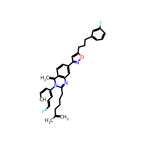 C=C(C)CCCCC1=Nc2cc(-c3cc(CCCc4cccc(F)c4)on3)ccc2C(=C)N1C(/C=C\C)=C/C=C/F